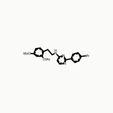 COc1ccc(CCNc2ccnc(-c3ccc(C(C)C)cc3)n2)c(OC)c1